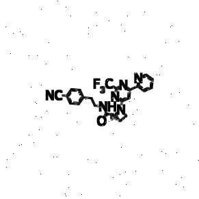 N#Cc1ccc(CCNC(=O)[C@@H]2CCN2c2cc(-c3ccccn3)nc(C(F)(F)F)n2)cc1